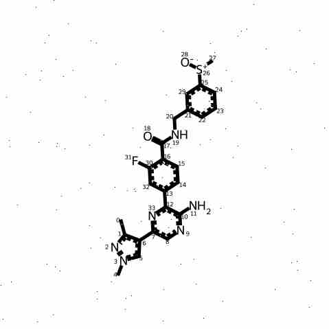 Cc1nn(C)cc1-c1cnc(N)c(-c2ccc(C(=O)NCc3cccc([S+](C)[O-])c3)c(F)c2)n1